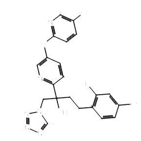 OC(CCc1ccc(F)cc1F)(Cn1cnnn1)c1ccc(Oc2ccc(Cl)cn2)cn1